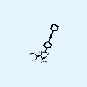 CCNC(C)=C(NC(=O)c1ccc(C#Cc2ccccc2)cc1)C(=O)OC